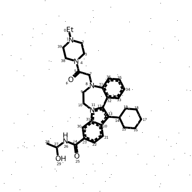 CCN1CCN(C(=O)CN2CCn3c(c(C4CCCCC4)c4ccc(C(=O)NC(C)O)cc43)-c3ccccc32)CC1